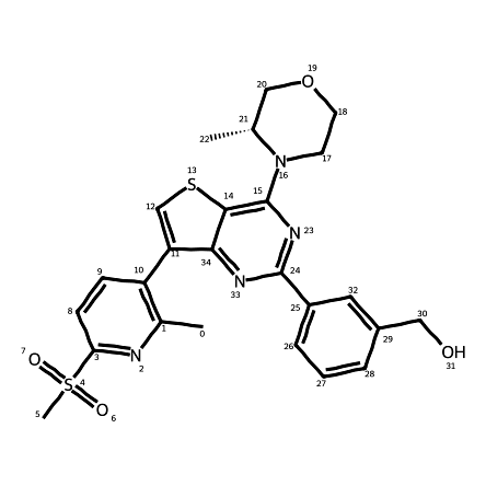 Cc1nc(S(C)(=O)=O)ccc1-c1csc2c(N3CCOC[C@H]3C)nc(-c3cccc(CO)c3)nc12